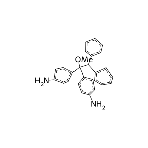 COC(c1ccc(N)cc1)(c1ccc(N)cc1)C(c1ccccc1)c1ccccc1